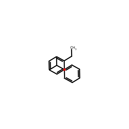 CCc1ccc2cc1C2c1[c]ccc[c]1